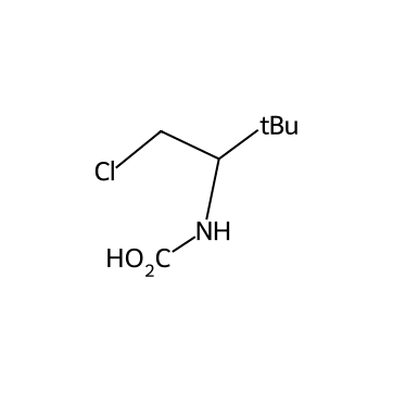 CC(C)(C)C(CCl)NC(=O)O